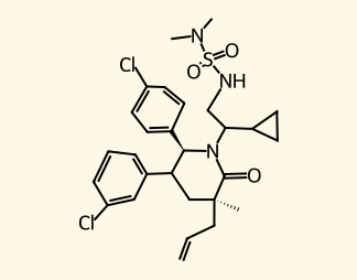 C=CC[C@@]1(C)CC(c2cccc(Cl)c2)[C@@H](c2ccc(Cl)cc2)N(C(CNS(=O)(=O)N(C)C)C2CC2)C1=O